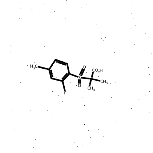 Cc1ccc(S(=O)(=O)C(C)(C)C(=O)O)c(F)c1